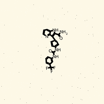 NC(=O)c1[nH]c2cccnc2c1-c1ccc(NC(=O)Nc2cccc(C(F)(F)F)c2)cc1